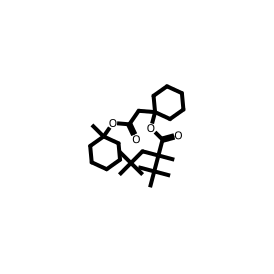 CC(C)(C)CC(C)(C(=O)OC1(CC(=O)OC2(C)CCCCC2)CCCCC1)C(C)(C)C